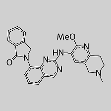 COc1nc2c(cc1Nc1ncc3cccc(N4Cc5ccccc5C4=O)c3n1)CN(C)CC2